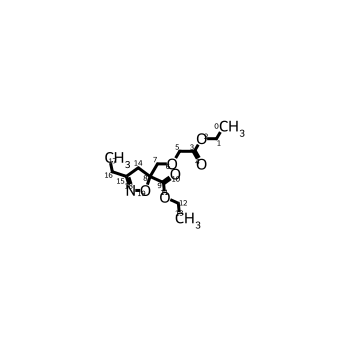 CCOC(=O)COCC1(C(=O)OCC)CC(CC)=NO1